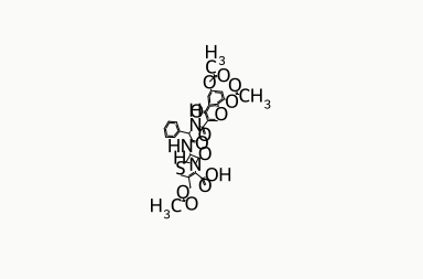 CC(=O)OCC1=C(C(=O)O)N2C(=O)[C@@H](NC(=O)C(NC(=O)c3coc4c(OC(C)=O)cc(OC(C)=O)cc4c3=O)c3ccccc3)[C@@H]2SC1